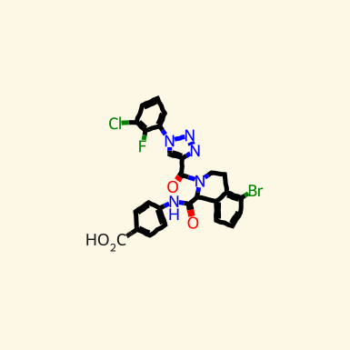 O=C(O)c1ccc(NC(=O)C2c3cccc(Br)c3CCN2C(=O)c2cn(-c3cccc(Cl)c3F)nn2)cc1